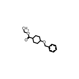 CCOC(=O)C1CCC(OCc2ccccc2)CC1